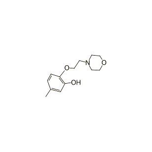 Cc1ccc(OCCN2CCOCC2)c(O)c1